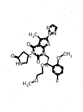 COCCO[C@@H](Cn1c(=O)n([C@@H]2CNC(=O)C2)c(=O)c2c(C)c(-n3nccn3)sc21)c1cc(F)ccc1OC